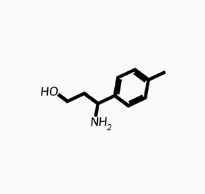 Cc1ccc(C(N)CCO)cc1